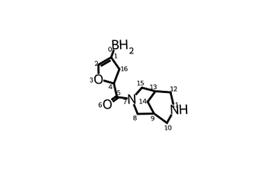 BC1=COC(C(=O)N2CC3CNCC(C3)C2)C1